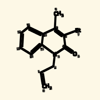 C=CCn1c(=O)c(CC)c(C)c2ccccc21